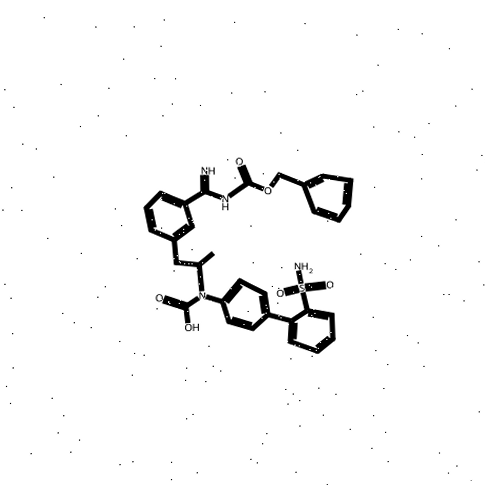 CC(Cc1cccc(C(=N)NC(=O)OCc2ccccc2)c1)N(C(=O)O)c1ccc(-c2ccccc2S(N)(=O)=O)cc1